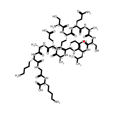 CSCC[C@H](NC(=O)[C@@H](N)CO)C(=O)N[C@@H](CCC(N)=O)C(=O)N[C@@H](C)C(=O)N[C@@H](CO)C(=O)N[C@@H](CC(C)C)C(=O)N[C@@H](CCC(=O)O)C(=O)N[C@@H](C)C(=O)N[C@@H](CCC(=O)O)C(=O)N[C@@H](C)C(=O)N[C@@H](CCCCN)C(=O)NCC(=O)N[C@@H](CCCCN)C(=O)O